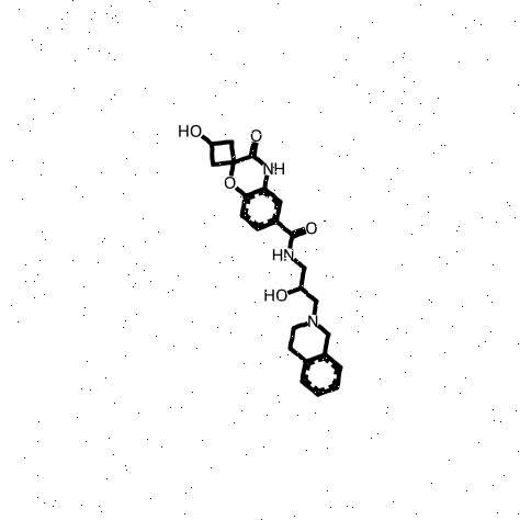 O=C(NCC(O)CN1CCc2ccccc2C1)c1ccc2c(c1)NC(=O)C1(CC(O)C1)O2